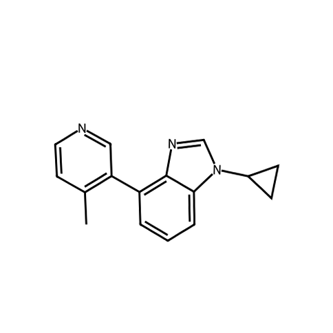 Cc1ccncc1-c1cccc2c1ncn2C1CC1